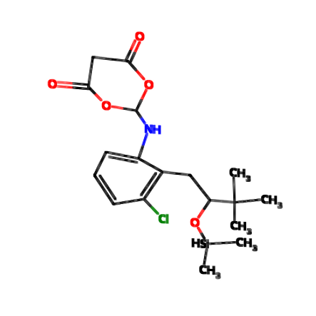 C[SiH](C)OC(Cc1c(Cl)cccc1NC1OC(=O)CC(=O)O1)C(C)(C)C